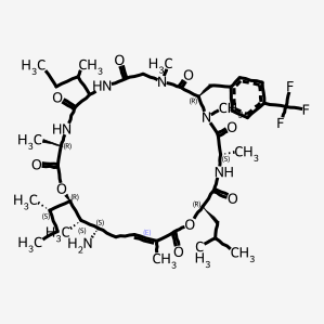 CCC(C)C1NC(=O)CN(C)C(=O)[C@@H](Cc2ccc(C(F)(F)F)cc2)N(C)C(=O)[C@H](C)NC(=O)[C@@H](CC(C)C)OC(=O)/C(C)=C/C[C@H](N)[C@H](C)[C@@H]([C@@H](C)CC)OC(=O)[C@@H](C)NC1=O